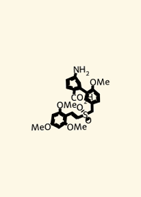 COc1cc(OC)c(C=CS(=O)(=O)Cc2ccc(OC)c(-c3cc(N)ccc3C(=O)O)c2)c(OC)c1